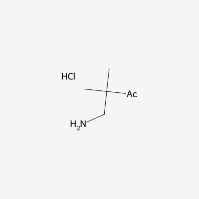 CC(=O)C(C)(C)CN.Cl